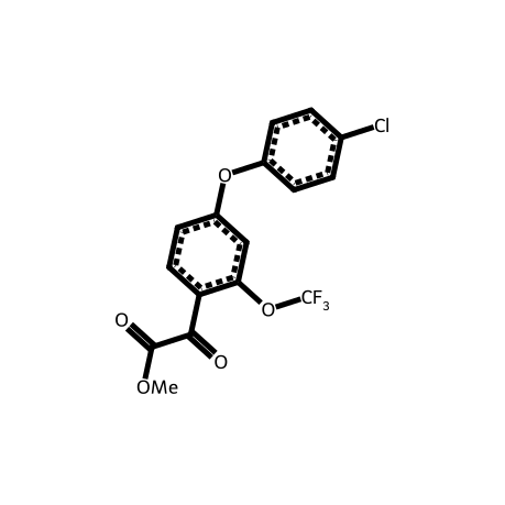 COC(=O)C(=O)c1ccc(Oc2ccc(Cl)cc2)cc1OC(F)(F)F